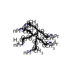 CCC/C=C\CSC(C)C(=O)OCCOC(=O)CCN(CCC(=O)OCCOC(=O)C(C)SC/C=C\CCC)CCN(CCN(CCC(=O)OCCOC(=O)C(C)SC/C=C\CCC)CCC(=O)OCCOC(=O)C(C)SC/C=C\CCC)CCN(CCC(=O)OCCOC(=O)C(C)SC/C=C\CCC)CCC(=O)OCCOC(=O)C(C)SC/C=C\CCC